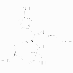 NC(=O)OCC1(NC(=O)C(=NOCC(=O)O)c2csc(N)n2)CNC1=O